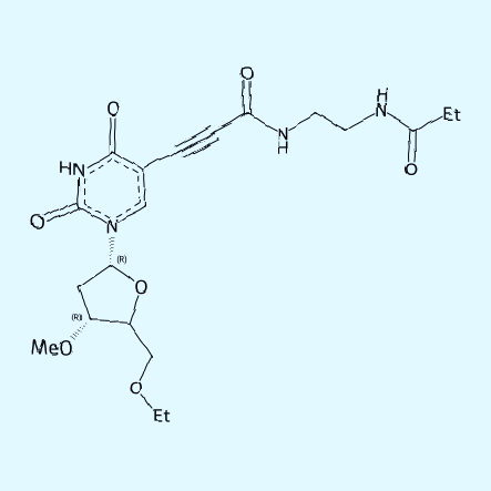 CCOCC1O[C@@H](n2cc(C#CC(=O)NCCNC(=O)CC)c(=O)[nH]c2=O)C[C@H]1OC